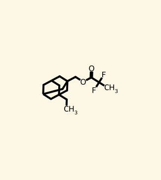 CCC12CC3CC(C1)CC(COC(=O)C(C)(F)F)(C3)C2